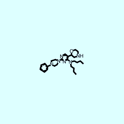 CCCCN(CCCC)c1nc(N2CCN(c3ccccc3)CC2)ncc1C1CNCCO1